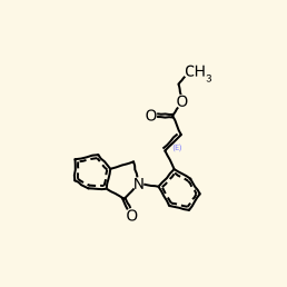 CCOC(=O)/C=C/c1ccccc1N1Cc2ccccc2C1=O